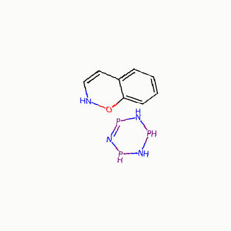 C1=Cc2ccccc2ON1.n1p[nH][pH][nH][pH]1